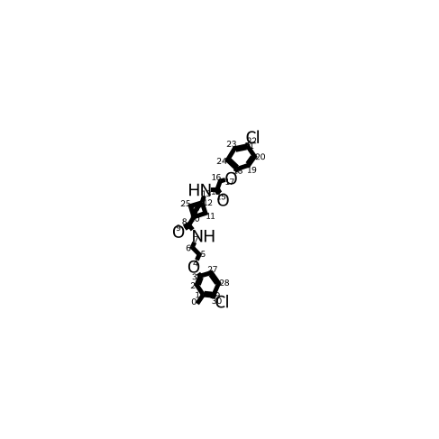 Cc1cc(OCCNC(=O)C23CC(NC(=O)COc4ccc(Cl)cc4)(C2)C3)ccc1Cl